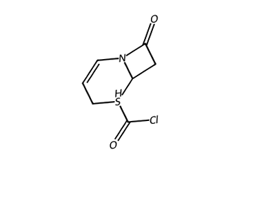 O=C1CC2N1C=CC[SH]2C(=O)Cl